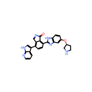 O=C1N=Cc2c(-c3c[nH]c4ncccc34)ccc(-c3nc4cc(O[C@H]5CCNC5)ccc4[nH]3)c21